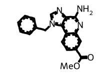 COC(=O)c1ccc2c(c1)nc(N)c1ncn(Cc3ccccc3)c12